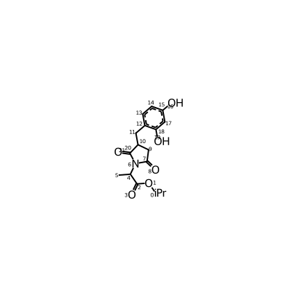 CC(C)OC(=O)C(C)N1C(=O)CC(Cc2ccc(O)cc2O)C1=O